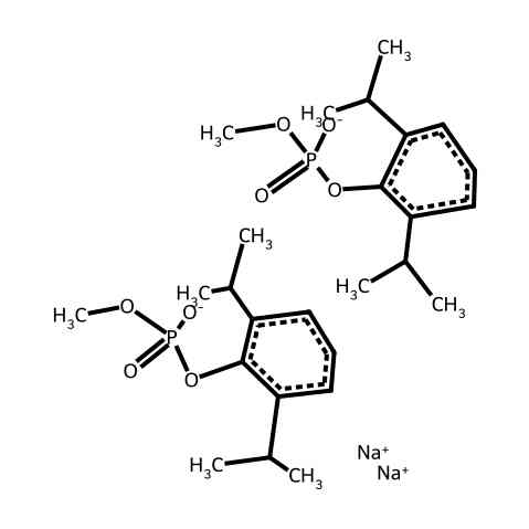 COP(=O)([O-])Oc1c(C(C)C)cccc1C(C)C.COP(=O)([O-])Oc1c(C(C)C)cccc1C(C)C.[Na+].[Na+]